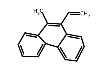 C=Cc1c(C)c2ccccc2c2ccccc12